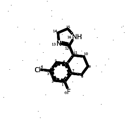 Fc1cc(Cl)cc2c1CCCC2C1=NCCN1